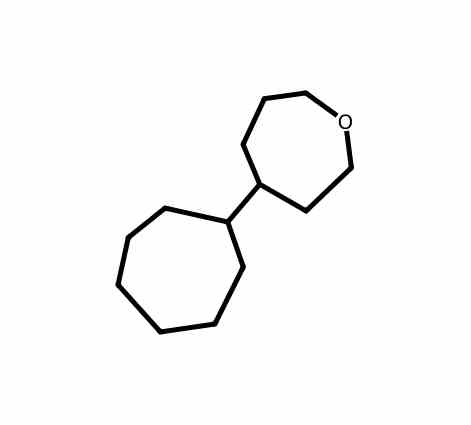 C1CCCC(C2CCCOCC2)CC1